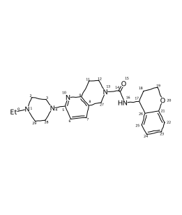 CCN1CCN(c2ccc3c(n2)CCN(C(=O)NC2CCOc4ccccc42)C3)CC1